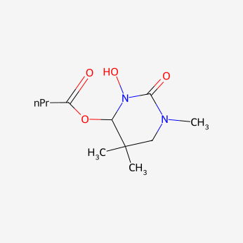 CCCC(=O)OC1N(O)C(=O)N(C)CC1(C)C